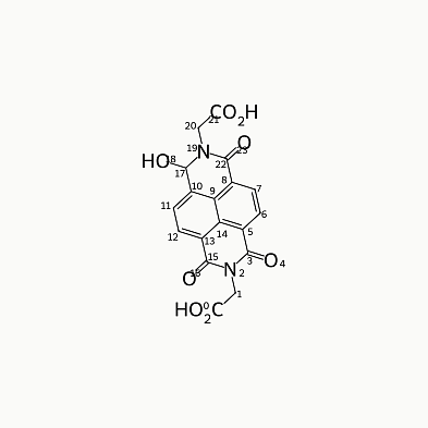 O=C(O)CN1C(=O)c2ccc3c4c(ccc(c24)C1=O)C(O)N(CC(=O)O)C3=O